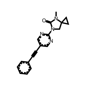 CN1C(=O)N(c2ncc(C#Cc3ccccc3)cn2)CC12CC2